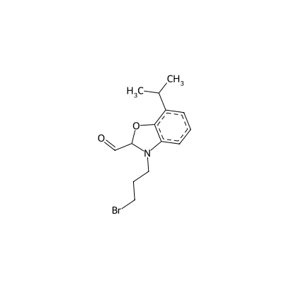 CC(C)c1cccc2c1OC(C=O)N2CCCBr